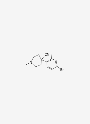 Cc1cc(Br)ccc1C1(C#N)CCN(C)CC1